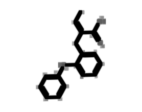 CC=C(Cc1ccccc1Pc1ccccc1)C(=O)O